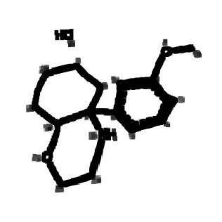 COc1cccc(C23CCCCC2OCCN3)c1.Cl